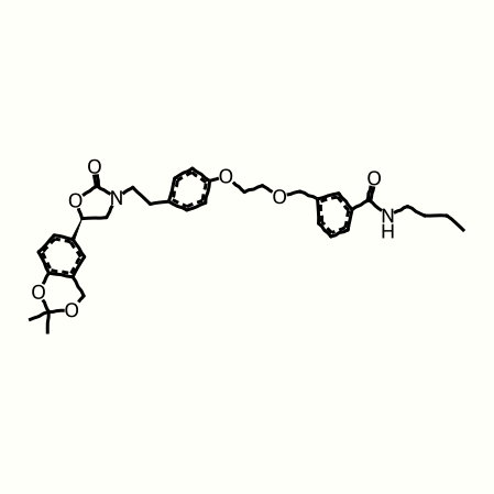 CCCCNC(=O)c1cccc(COCCOc2ccc(CCN3C[C@@H](c4ccc5c(c4)COC(C)(C)O5)OC3=O)cc2)c1